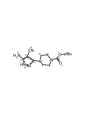 CC(C)(C)OC(=O)N1CCN(c2n[nH]c(N)c2C#N)CC1